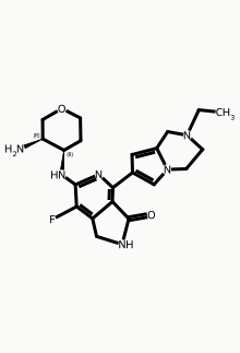 CCN1CCn2cc(-c3nc(N[C@@H]4CCOC[C@@H]4N)c(F)c4c3C(=O)NC4)cc2C1